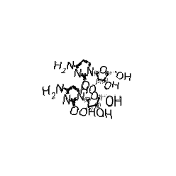 Nc1ccn([C@@H]2O[C@H](CO)[C@@H](O)[C@@H]2O)c(=O)n1.Nc1ccn([C@@H]2O[C@H](CO)[C@H](O)[C@@H]2O)c(=O)n1